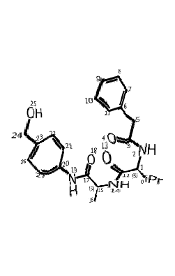 CC(C)[C@H](NC(=O)Cc1ccccc1)C(=O)N[C@@H](C)C(=O)Nc1ccc(CO)cc1